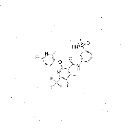 Cc1nc(F)ccc1Oc1nc(C(F)(F)F)c(Cl)c(C)c1C(=O)Nc1cccc([S@](C)(=N)=O)c1